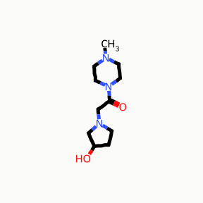 CN1CCN(C(=O)CN2CCC(O)C2)CC1